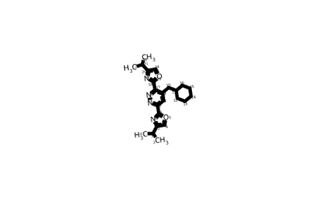 CC(C)c1coc(-c2cc(CC3CCCCC3)c(-c3nc(C(C)C)co3)nn2)n1